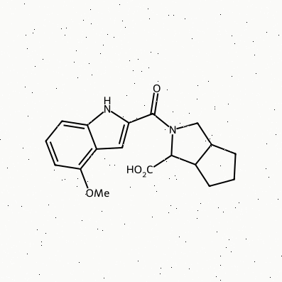 COc1cccc2[nH]c(C(=O)N3CC4CCCC4C3C(=O)O)cc12